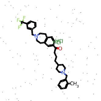 Cc1ccccc1CN1CCC(CCCC(=O)c2ccc3c(c2)CCN(Cc2cccc(C(F)(F)F)c2)CC3)CC1.Cl.Cl